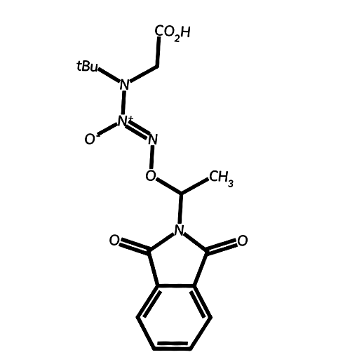 CC(ON=[N+]([O-])N(CC(=O)O)C(C)(C)C)N1C(=O)c2ccccc2C1=O